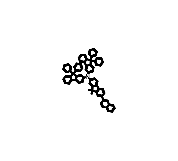 CC1(C)c2cc(-c3ccc4ccccc4c3)ccc2-c2ccc(N(c3ccc4c(c3)-c3ccccc3C4(c3ccccc3)c3ccccc3)c3ccc4c(c3)C(c3ccccc3)(c3ccccc3)c3ccccc3-4)cc21